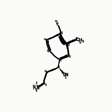 Cc1cc([C@H](O)CCN)ccc1F